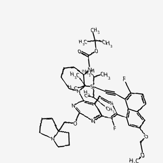 COCOc1cc(-c2ncc3c(N4CCCC[C@@H](NC(=O)OC(C)(C)C)C4)nc(OCC45CCCN4CCC5)nc3c2F)c2c(C#C[Si](C(C)C)(C(C)C)C(C)C)c(F)ccc2c1